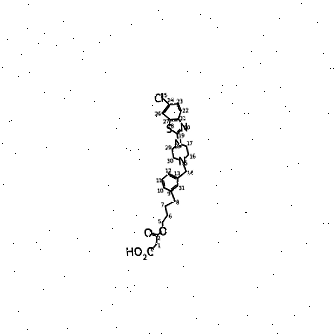 O=C(O)CC(=O)OCCCCc1cccc(CN2CCN(c3nc4ccc(Cl)cc4s3)CC2)c1